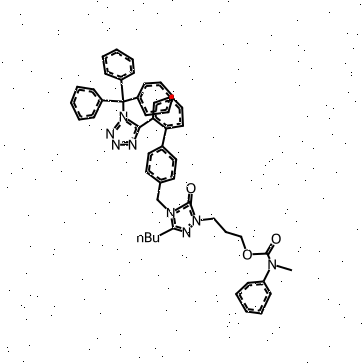 CCCCc1nn(CCCOC(=O)N(C)c2ccccc2)c(=O)n1Cc1ccc(-c2ccccc2-c2nnnn2C(c2ccccc2)(c2ccccc2)c2ccccc2)cc1